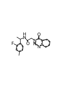 Cc1ccc(C(C)NC(=O)Cn2nnc3ccccc3c2=O)c(F)c1